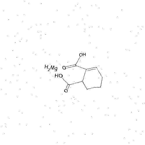 O=C(O)C1=CCCCC1C(=O)O.[MgH2]